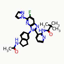 CC(=O)N[C@H]1CCc2cc(-n3c(-c4cccnc4NC(=O)C(C)(C)C)nc4cc(F)c(-n5cccn5)nc43)ccc21